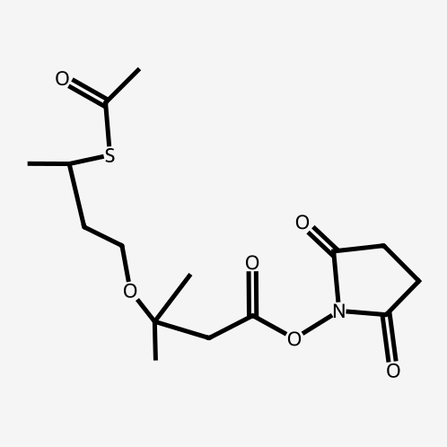 CC(=O)SC(C)CCOC(C)(C)CC(=O)ON1C(=O)CCC1=O